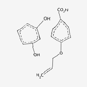 C=CCOc1ccc(C(=O)O)cc1.Oc1cccc(O)c1